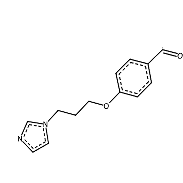 O=[C]c1ccc(OCCCn2ccnc2)cc1